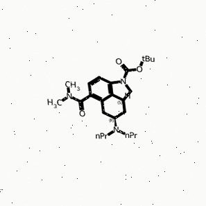 CCCN(CCC)[C@H]1Cc2c(C(=O)N(C)C)ccc3c2[C@H](C1)CN3C(=O)OC(C)(C)C